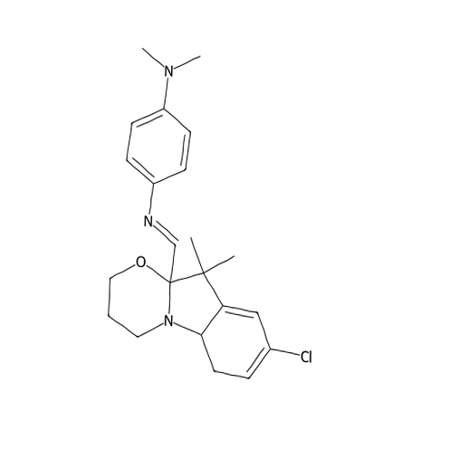 CN(C)c1ccc(/N=C/C23OCCCN2C2CC=C(Cl)C=C2C3(C)C)cc1